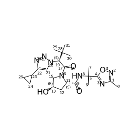 Cc1noc(C(C)(C)NC(=O)[C@@H]2C[C@@H](O)CN2C(=O)[C@@H](n2cc(C3CC3)nn2)C(C)(C)C)n1